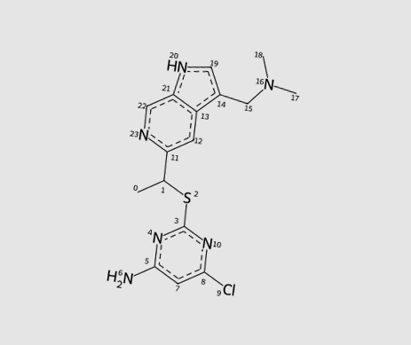 CC(Sc1nc(N)cc(Cl)n1)c1cc2c(CN(C)C)c[nH]c2cn1